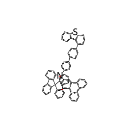 c1ccc2c(c1)-c1ccccc1C21c2ccccc2-c2cccc(N(c3ccc(-c4ccc(-c5cccc6sc7ccccc7c56)cc4)cc3)c3ccc4c5ccccc5c5ccccc5c4c3)c21